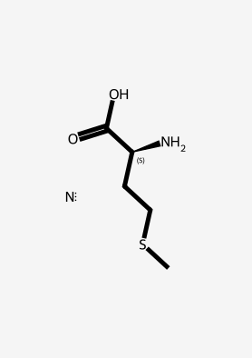 CSCC[C@H](N)C(=O)O.[N]